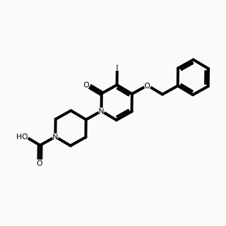 O=C(O)N1CCC(n2ccc(OCc3ccccc3)c(I)c2=O)CC1